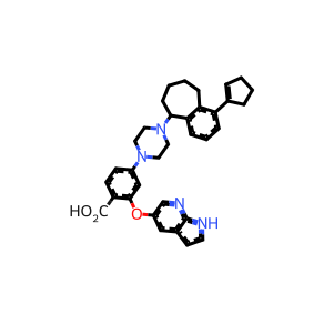 O=C(O)c1ccc(N2CCN(C3CCCCc4c(C5=CCCC5)cccc43)CC2)cc1Oc1cnc2[nH]ccc2c1